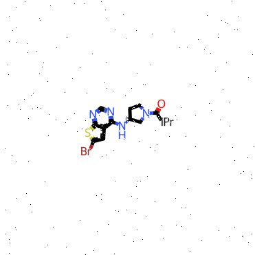 CC(C)C(=O)N1CC[C@H](Nc2ncnc3sc(Br)cc23)C1